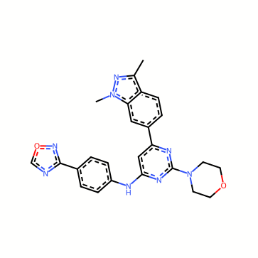 Cc1nn(C)c2cc(-c3cc(Nc4ccc(-c5ncon5)cc4)nc(N4CCOCC4)n3)ccc12